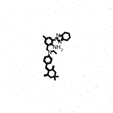 C=C1CC(C)(C)CC(=C)C1=Cc1ccc(N(CC)Cc2cc(C)cc(-n3nc4c(n3)CCCC4)c2N)cc1